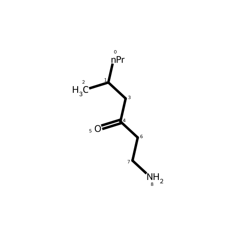 CCCC(C)CC(=O)CCN